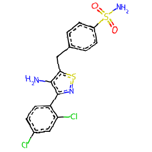 Nc1c(-c2ccc(Cl)cc2Cl)nsc1Cc1ccc(S(N)(=O)=O)cc1